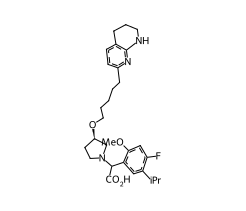 COc1cc(F)c(C(C)C)cc1C(C(=O)O)N1CC[C@@H](OCCCCCc2ccc3c(n2)NCCC3)C1